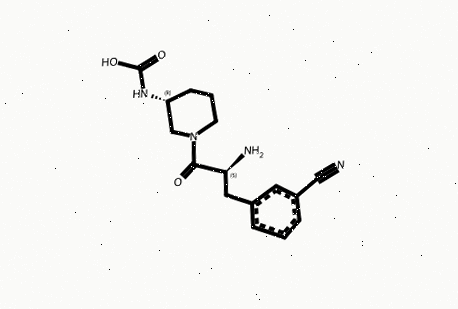 N#Cc1cccc(C[C@H](N)C(=O)N2CCC[C@@H](NC(=O)O)C2)c1